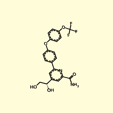 NC(=O)c1cc([C@H](O)CO)cc(-c2ccc(Oc3ccc(OC(F)(F)F)cc3)cc2)n1